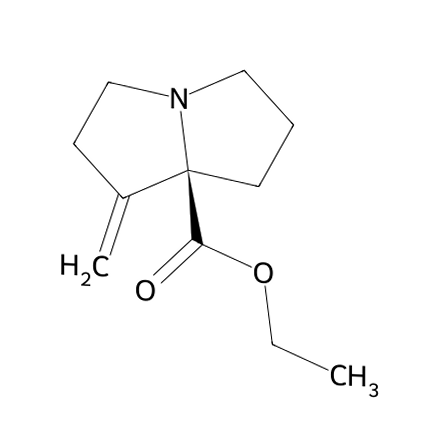 C=C1CCN2CCC[C@]12C(=O)OCC